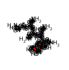 CC[C@H]1O[C@@H](n2cnc3c(=O)[nH]c(N)nc32)CC1OP(=O)(S)OC[C@H]1O[C@@H](n2cc(C)c(N)nc2=O)CC1OP(=O)(S)OC[C@H]1O[C@@H](n2cc(C)c(N)nc2=O)CC1OP(=O)(S)OC[C@H]1O[C@@H](n2cc(C)c(N)nc2=O)CC1OP(=O)(S)OC[C@H]1O[C@@H](n2cc(C)c(N)nc2=O)CC1OP(=O)(S)OC[C@H]1O[C@@H](n2cc(C)c(=O)[nH]c2=O)CC1OP(=O)(S)OC[C@H]1O[C@@H](n2cnc3c(=O)[nH]c(N)nc32)CC1OP(=O)(S)OC